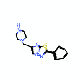 c1ccc(-c2nn3cc(CN4CCNCC4)nc3s2)cc1